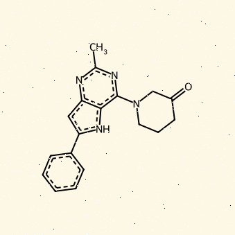 Cc1nc(N2CCCC(=O)C2)c2[nH]c(-c3ccccc3)cc2n1